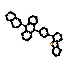 c1ccc2cc(-c3c4ccccc4c(-c4ccc(-c5cccc6c5sc5ccccc56)cc4)c4ccccc34)ccc2c1